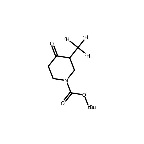 [2H]C([2H])([2H])C1CN(C(=O)OC(C)(C)C)CCC1=O